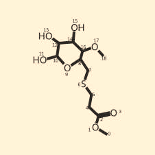 COC(=O)CCSCC1OC(O)C(O)C(O)C1OC